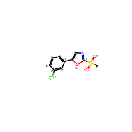 CS(=O)(=O)c1ncc(-c2cccc(Cl)c2)o1